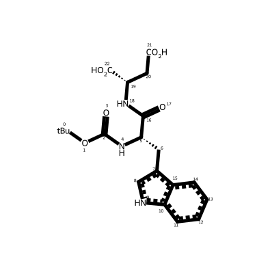 CC(C)(C)OC(=O)N[C@@H](Cc1c[nH]c2ccccc12)C(=O)N[C@@H](CC(=O)O)C(=O)O